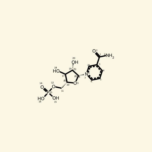 NC(=O)c1ccc[n+]([C@@H]2O[C@H](COP(=O)(O)O)C(O)[C@@H]2O)c1